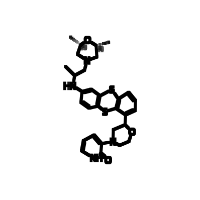 CC(CN1C[C@@H](C)O[C@@H](C)C1)Nc1ccc2c(c1)Sc1cccc(C3CN(c4ccc[nH]c4=O)CCO3)c1S2